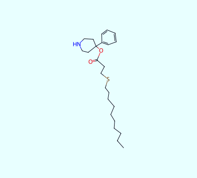 CCCCCCCCCCSCCC(=O)OC1(c2ccccc2)CCNCC1